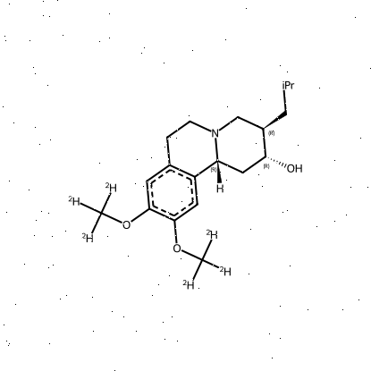 [2H]C([2H])([2H])Oc1cc2c(cc1OC([2H])([2H])[2H])[C@H]1C[C@@H](O)[C@H](CC(C)C)CN1CC2